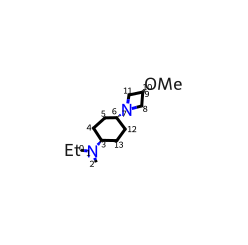 CCN(C)[C@H]1CC[C@H](N2CC(OC)C2)CC1